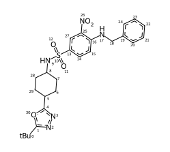 CC(C)(C)c1nnc(C2CCC(NS(=O)(=O)c3ccc(NCc4ccccc4)c([N+](=O)[O-])c3)CC2)o1